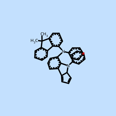 CC1(C)c2ccccc2-c2c(N(c3ccccc3)c3cccc4c3N(c3ccccc3)C3C=CC=C43)cccc21